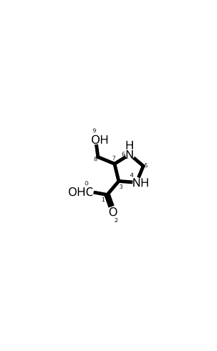 O=CC(=O)C1NCNC1CO